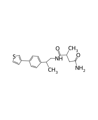 CC(CC(N)=O)C(=O)NCC(C)c1ccc(-c2ccsc2)cc1